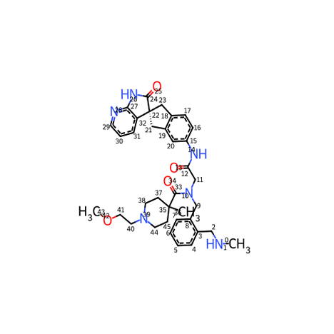 CNCc1ccccc1CN(CC(=O)Nc1ccc2c(c1)C[C@@]1(C2)C(=O)Nc2ncccc21)C(=O)C1(C)CCN(CCOC)CC1